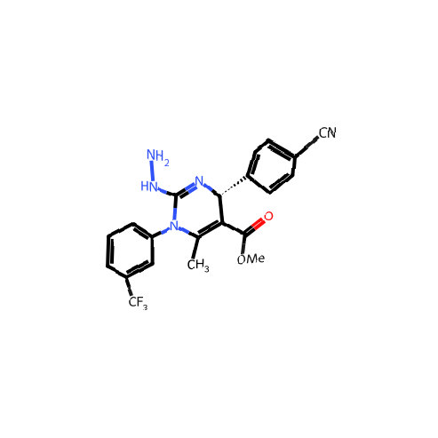 COC(=O)C1=C(C)N(c2cccc(C(F)(F)F)c2)C(NN)=N[C@@H]1c1ccc(C#N)cc1